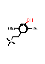 CC(C)(C)c1cc(CC[Si](C)(C)C)c(C(C)(C)C)cc1O